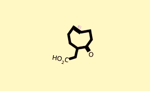 O=C(O)CC1CC/C=C/CCC1=O